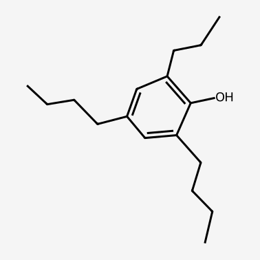 CCCCc1cc(CCC)c(O)c(CCCC)c1